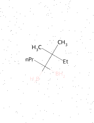 BC(B)(CCC)C(C)(C)CC